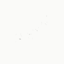 C=C(/N=C(/C)ON)C(C)(C)NC(=O)c1ccc(C2CCOC2)c(-c2cccc(Cl)c2)n1